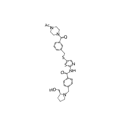 CC(=O)N1CCN(C(=O)c2cccc(CSc3cnc(NC(=O)c4ccc(CN5CCC[C@H]5CO)cc4)s3)c2)CC1